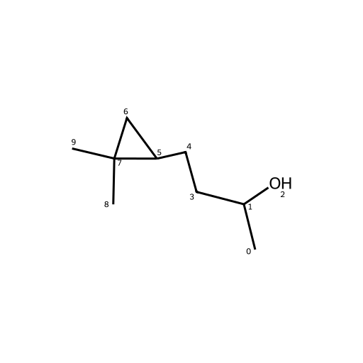 CC(O)CCC1CC1(C)C